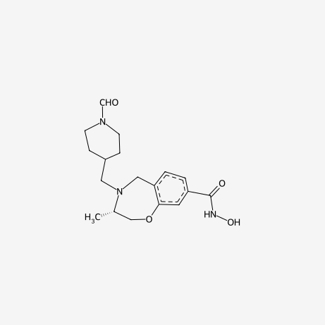 C[C@H]1COc2cc(C(=O)NO)ccc2CN1CC1CCN(C=O)CC1